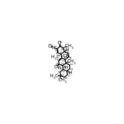 [C-]#[N+]C1=C[C@]2(C)C3=CC(=O)[C@@H]4[C@@H]5CC(C)(C)CC[C@@H]5CC[C@@]4(C)[C@]3(C)CC[C@H]2[C@H](C)C1=O